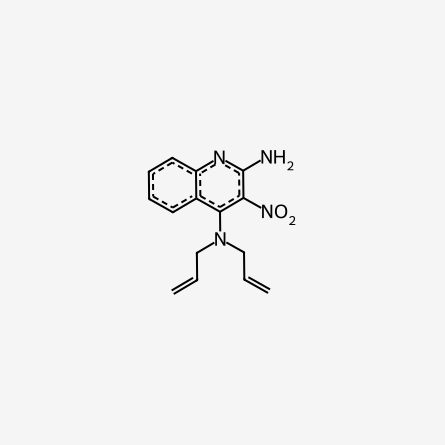 C=CCN(CC=C)c1c([N+](=O)[O-])c(N)nc2ccccc12